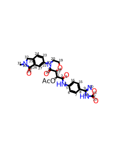 CC(=O)OC(C(=O)Nc1ccc(-c2noc(=O)[nH]2)cc1)C1OCCN(c2ccc3c(c2)C(=O)N(C)C3)C1=O